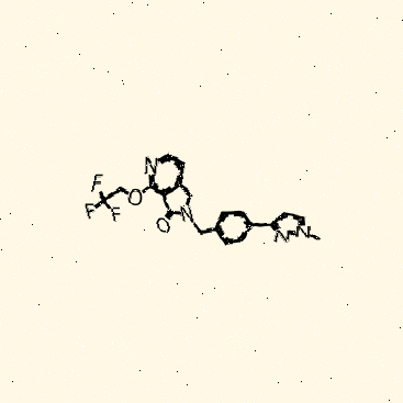 Cn1ccc(-c2ccc(CN3Cc4ccnc(OCC(F)(F)F)c4C3=O)cc2)n1